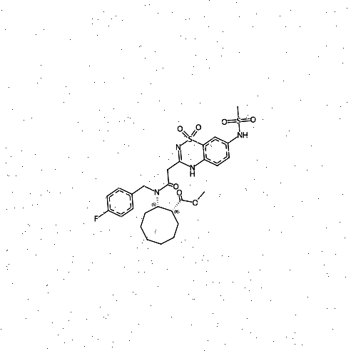 COC(=O)[C@@H]1CCCCCC[C@@H]1N(Cc1ccc(F)cc1)C(=O)CC1=NS(=O)(=O)c2cc(NS(C)(=O)=O)ccc2N1